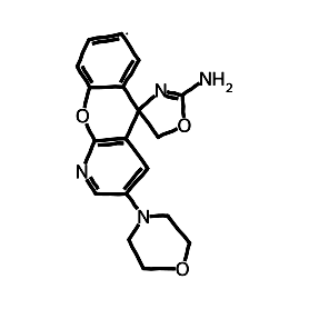 NC1=NC2(CO1)c1c[c]ccc1Oc1ncc(N3CCOCC3)cc12